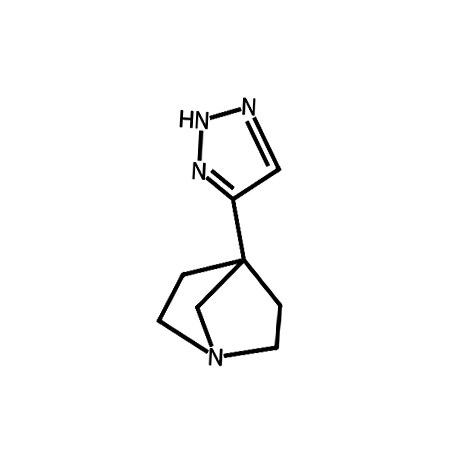 c1n[nH]nc1C12CCN(CC1)C2